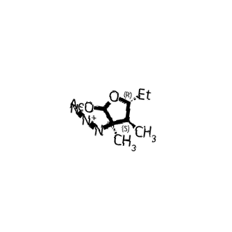 CC[C@H]1OC(OC(C)=O)[C@](C)(N=[N+]=[N-])[C@@H]1C